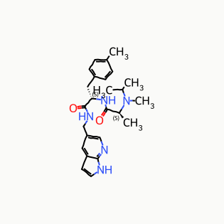 Cc1ccc(C[C@H](NC(=O)[C@H](C)N(C)C(C)C)C(=O)NCc2cnc3[nH]ccc3c2)cc1